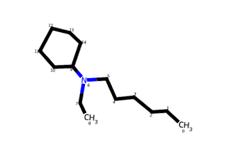 CCCCCCN(CC)C1CCCCC1